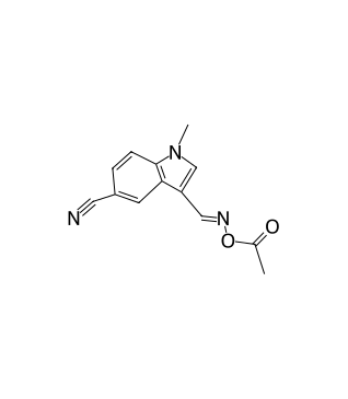 CC(=O)O/N=C/c1cn(C)c2ccc(C#N)cc12